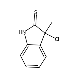 CC1(Cl)C(=S)Nc2ccccc21